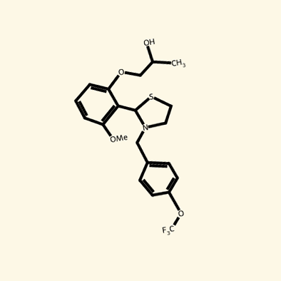 COc1cccc(OCC(C)O)c1C1SCCN1Cc1ccc(OC(F)(F)F)cc1